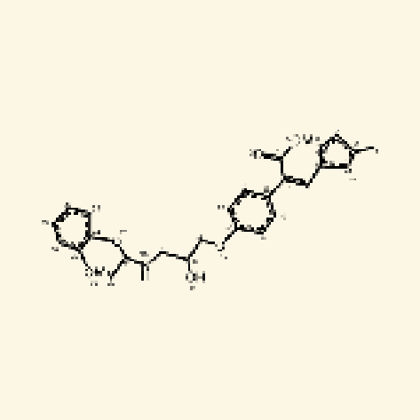 COC(=O)C(=Cc1ccc(C)s1)c1ccc(OCC(O)CNC(C)Oc2ccccc2OC)cc1